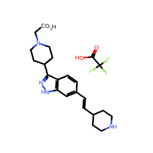 O=C(O)C(F)(F)F.O=C(O)CN1CCC(c2n[nH]c3cc(C=CC4CCNCC4)ccc23)CC1